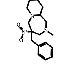 CN1CC2CCCCN2CC(Cc2ccccc2)([N+](=O)[O-])C1